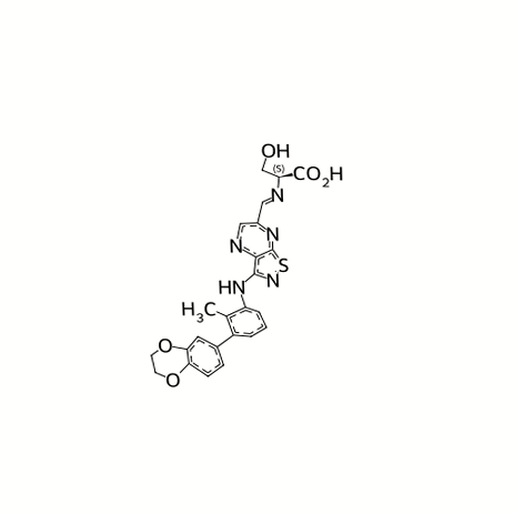 Cc1c(Nc2nsc3nc(C=N[C@@H](CO)C(=O)O)cnc23)cccc1-c1ccc2c(c1)OCCO2